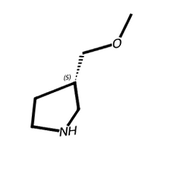 COC[C@H]1CCNC1